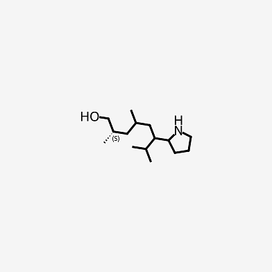 CC(CC(C(C)C)C1CCCN1)C[C@H](C)CO